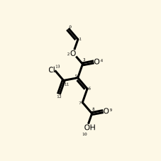 C=COC(=O)C(=CCC(=O)O)C(=C)Cl